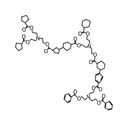 O=C(OCCN(CCOC(=O)c1ccccc1)CCOC(=O)c1ccc(C2CCCC(C(=O)OCCN(CCOC(=O)C3CCCCC3)CCOC(=O)C3CCC(C4CCC(C(=O)OCCN(CCOC(=O)C5CCCC5)CCOC(=O)C5CCCC5)C4)CC3)C2)cc1)c1ccccc1